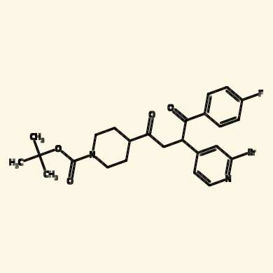 CC(C)(C)OC(=O)N1CCC(C(=O)CC(C(=O)c2ccc(F)cc2)c2ccnc(Br)c2)CC1